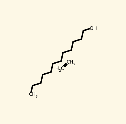 C=C.CCCCCCCCCCCCO